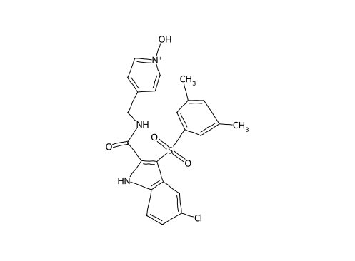 Cc1cc(C)cc(S(=O)(=O)c2c(C(=O)NCc3cc[n+](O)cc3)[nH]c3ccc(Cl)cc23)c1